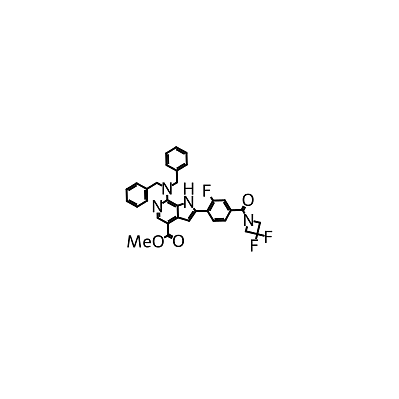 COC(=O)c1cnc(N(Cc2ccccc2)Cc2ccccc2)c2[nH]c(-c3ccc(C(=O)N4CC(F)(F)C4)cc3F)cc12